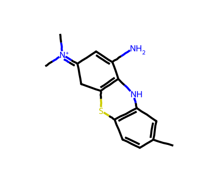 Cc1ccc2c(c1)NC1=C(CC(=[N+](C)C)C=C1N)S2